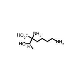 C[C@@H](O)C(N)(CCCCN)C(=O)O